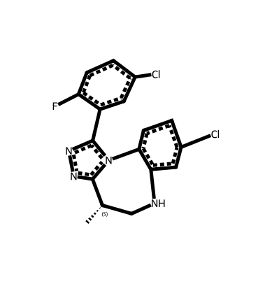 C[C@H]1CNc2cc(Cl)ccc2-n2c(-c3cc(Cl)ccc3F)nnc21